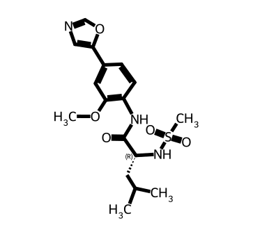 COc1cc(-c2cnco2)ccc1NC(=O)[C@@H](CC(C)C)NS(C)(=O)=O